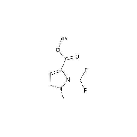 CC(C)OC(=O)C1=CCN(C)N1C(F)F